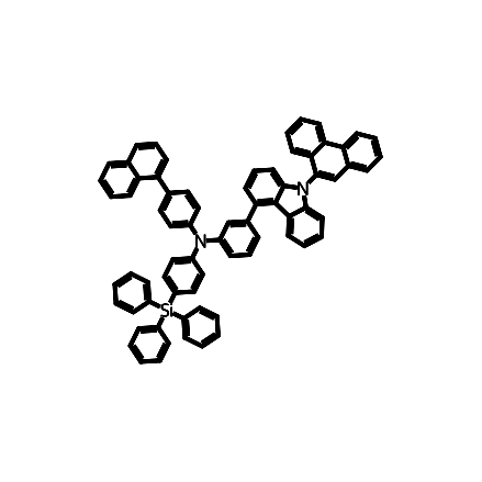 c1ccc([Si](c2ccccc2)(c2ccccc2)c2ccc(N(c3ccc(-c4cccc5ccccc45)cc3)c3cccc(-c4cccc5c4c4ccccc4n5-c4cc5ccccc5c5ccccc45)c3)cc2)cc1